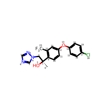 C[C@](O)(Cn1cncn1)c1ccc(Oc2ccc(Cl)cc2)cc1C(F)(F)F